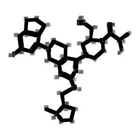 C[C@@H](F)C(=O)N1CCN(c2nc(OC[C@H]3CCCN3C)nc3c2CCN(c2cc(F)cc4c2CCC4)C3)C[C@H]1CC#N